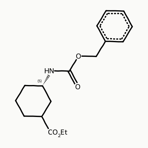 CCOC(=O)C1CCC[C@H](NC(=O)OCc2ccccc2)C1